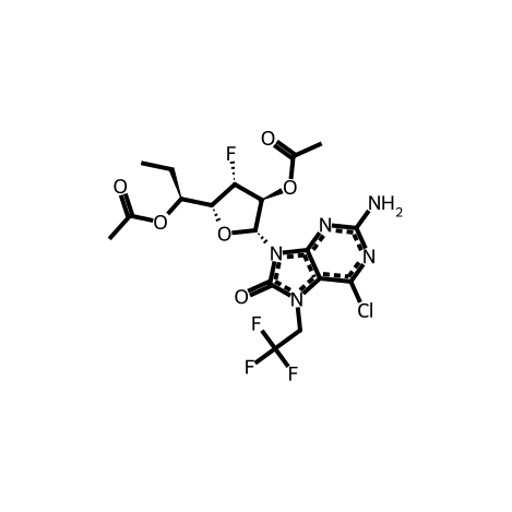 CC[C@H](OC(C)=O)[C@H]1O[C@@H](n2c(=O)n(CC(F)(F)F)c3c(Cl)nc(N)nc32)[C@H](OC(C)=O)[C@H]1F